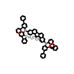 CC1(C)c2c(ccc3cc(N(c4ccc(-c5ccccc5)cc4-c4ccccc4)c4cccc5c4oc4ccccc45)ccc23)-c2ccc3cc(N(c4ccc(-c5ccccc5)cc4-c4ccccc4)c4cccc5c4oc4ccccc45)ccc3c21